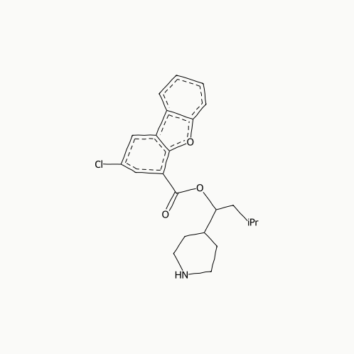 CC(C)CC(OC(=O)c1cc(Cl)cc2c1oc1ccccc12)C1CCNCC1